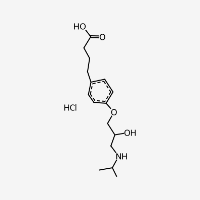 CC(C)NCC(O)COc1ccc(CCCC(=O)O)cc1.Cl